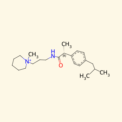 CC(C)Cc1ccc([C@@H](C)C(=O)NCCC[N+]2(C)CCCCC2)cc1